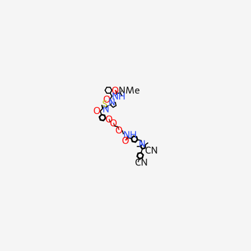 CN[C@@H](C)C(=O)N[C@H](C(=O)N1CCC[C@H]1c1nc(C(=O)c2cccc(OCOCCOCCNC(=O)c3ccc(Cn4c(C)c(C#N)c(-c5ccc(C#N)cc5)c4C)cc3)c2)cs1)C1CCCCC1